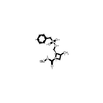 CC1CN(C(=O)OC(C)(C)C)[C@H]1COS(=O)(=O)Cc1ccccc1